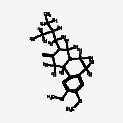 [2H]C1([2H])C(C([2H])([2H])C([2H])(C([2H])([2H])[2H])C([2H])([2H])C)C(=O)C([2H])([2H])C2([2H])c3cc(OC)c(OC)cc3C([2H])([2H])C([2H])([2H])N12